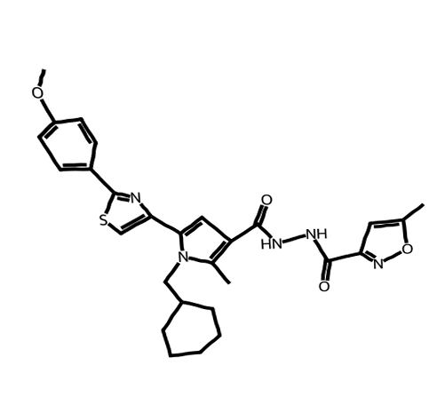 COc1ccc(-c2nc(-c3cc(C(=O)NNC(=O)c4cc(C)on4)c(C)n3CC3CCCCC3)cs2)cc1